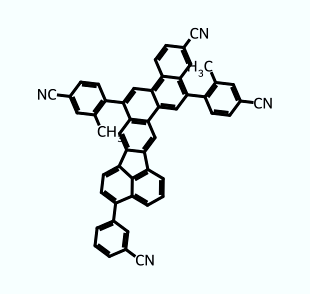 Cc1cc(C#N)ccc1-c1cc2c3cc4c(cc3c(-c3ccc(C#N)cc3C)cc2c2ccc(C#N)cc12)-c1ccc(-c2cccc(C#N)c2)c2cccc-4c12